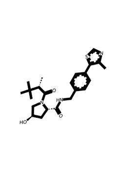 Cc1ncsc1-c1ccc(CNC(=O)[C@@H]2C[C@@H](O)CN2C(=O)[C@@H](C)C(C)(C)C)cc1